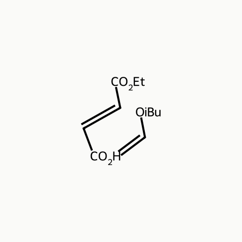 C=COCC(C)C.CCOC(=O)C=CC(=O)O